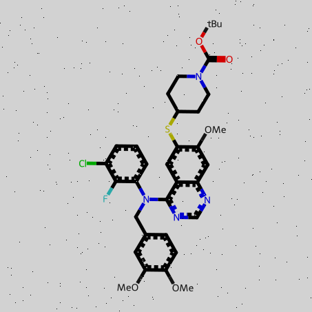 COc1ccc(CN(c2cccc(Cl)c2F)c2ncnc3cc(OC)c(SC4CCN(C(=O)OC(C)(C)C)CC4)cc23)cc1OC